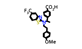 COc1ccc(CCN(c2nc3cc(C(F)(F)F)ccc3s2)C(C)c2ccc(C(=O)O)cc2)cc1